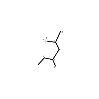 [2H]C(C)CC(C)CC